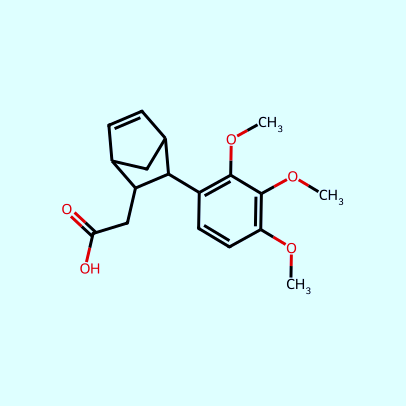 COc1ccc(C2C3C=CC(C3)C2CC(=O)O)c(OC)c1OC